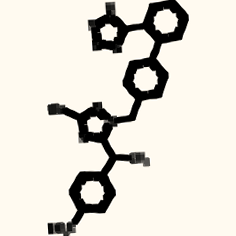 CC(c1ccc(C(=O)O)cc1)c1nc(C(C)(C)C)nn1Cc1ccc(-c2ccccc2-c2nnn[nH]2)cc1